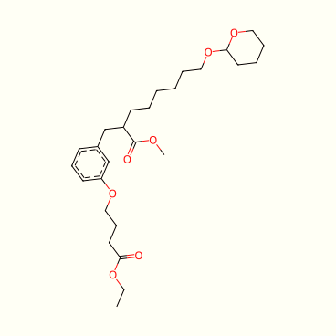 CCOC(=O)CCCOc1cccc(CC(CCCCCCOC2CCCCO2)C(=O)OC)c1